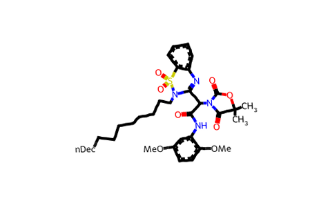 CCCCCCCCCCCCCCCCCCN1C(C(C(=O)Nc2cc(OC)ccc2OC)N2C(=O)OC(C)(C)C2=O)=Nc2ccccc2S1(=O)=O